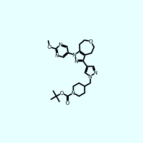 COc1ncc(-n2nc(-c3cnn(CC4CCN(C(=O)OC(C)(C)C)CC4)c3)c3c2CCOCC3)cn1